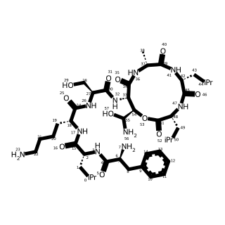 CC(C)C[C@@H](NC(=O)[C@@H](N)Cc1ccccc1)C(=O)N[C@H](CCCCN)C(=O)N[C@@H](CO)C(=O)N[C@@H]1C(=O)N[C@H](C)C(=O)N[C@H](CC(C)C)C(=O)N[C@H](CC(C)C)C(=O)O[C@H]1C(N)O